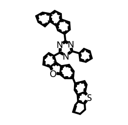 C1=Cc2c(sc3ccc(-c4ccc5c(c4)oc4cccc(-c6nc(-c7ccccc7)nc(-c7ccc8ccc9ccccc9c8c7)n6)c45)cc23)CC1